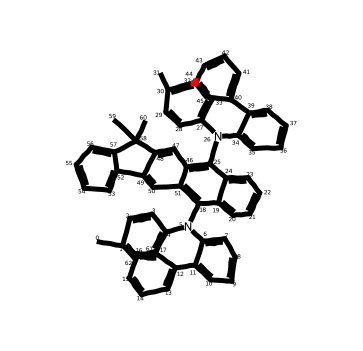 Cc1ccc(N(c2ccccc2-c2ccccc2)c2c3ccccc3c(N(c3ccc(C)cc3)c3ccccc3-c3ccccc3)c3cc4c(cc23)-c2ccccc2C4(C)C)cc1